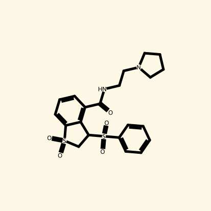 O=C(NCCN1CCCC1)c1cccc2c1C(S(=O)(=O)c1ccccc1)CS2(=O)=O